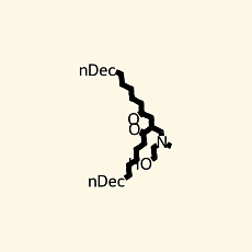 CCCCCCCCCCCCCCCC(=O)CC(CN(C)CCO)C(=O)CCCCCCCCCCCCCCC